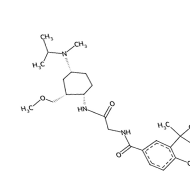 COC[C@@H]1C[C@H](N(C)C(C)C)CC[C@@H]1NC(=O)CNC(=O)c1ccc(O)c(C(C)(C)C)c1